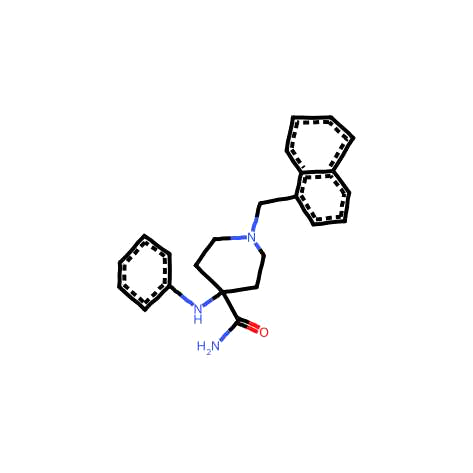 NC(=O)C1(Nc2ccccc2)CCN(Cc2cccc3ccccc23)CC1